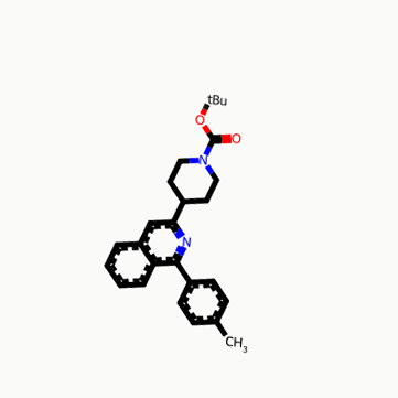 Cc1ccc(-c2nc(C3CCN(C(=O)OC(C)(C)C)CC3)cc3ccccc23)cc1